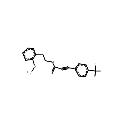 COc1ccccc1CCNC(=O)C#Cc1ccc(C(F)(F)F)cc1